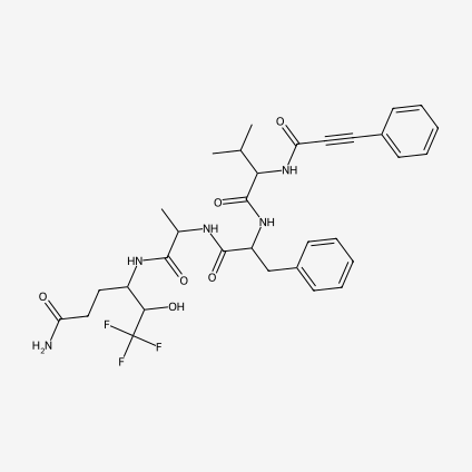 CC(NC(=O)C(Cc1ccccc1)NC(=O)C(NC(=O)C#Cc1ccccc1)C(C)C)C(=O)NC(CCC(N)=O)C(O)C(F)(F)F